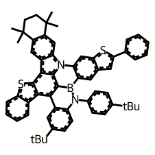 CC(C)(C)c1ccc(N2B3c4cc5cc(-c6ccccc6)sc5cc4-n4c5cc6c(cc5c5c7sc8ccccc8c7c(c3c54)-c3cc(C(C)(C)C)ccc32)C(C)(C)CCC6(C)C)cc1